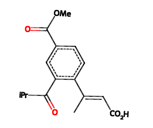 COC(=O)c1ccc(C(C)=CC(=O)O)c(C(=O)C(C)C)c1